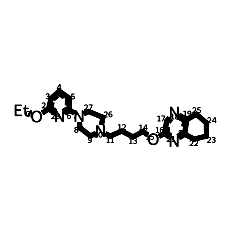 CCOc1cccc(N2CCN(CCCCOc3cnc4c(n3)CCCC4)CC2)n1